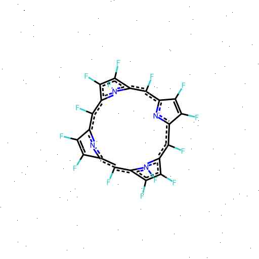 FC1=C(F)c2nc1c(F)c1c(F)c(F)c(c(F)c3nc(c(F)c4c(F)c(F)c(c2F)n4F)C(F)=C3F)n1F